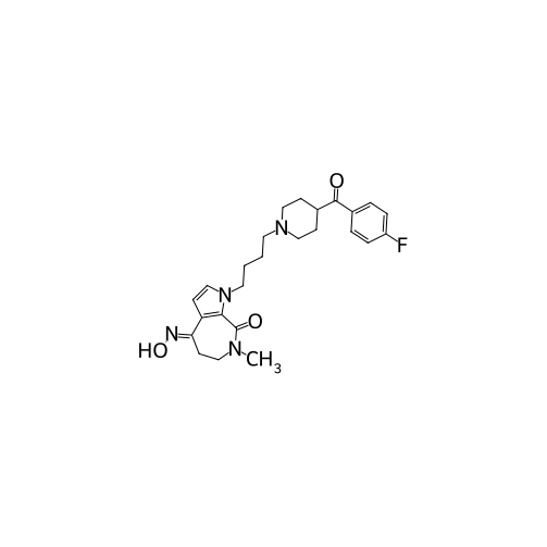 CN1CCC(=NO)c2ccn(CCCCN3CCC(C(=O)c4ccc(F)cc4)CC3)c2C1=O